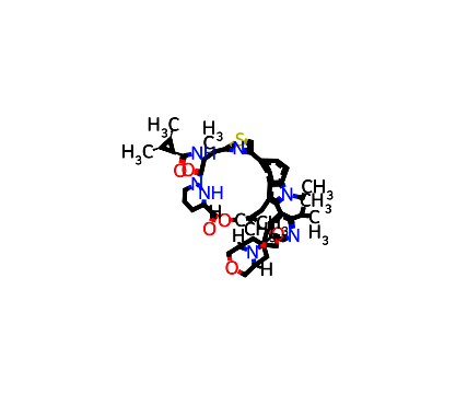 CCn1c(-c2cc([C@@H]3C[C@H]4COC[C@@H](C3)N4C3COC3)cnc2C(C)C)c2c3cc(ccc31)-c1csc(n1)[C@@H](C)[C@H](NC(=O)[C@H]1[C@H](C)[C@@H]1C)C(=O)N1CCC[C@H](N1)C(=O)OCC(C)(C)C2